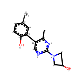 Cc1nc(N2CC(O)C2)ncc1-c1cc(C(F)(F)F)ccc1O